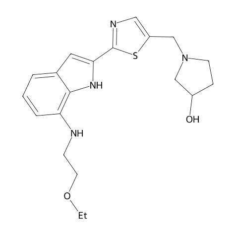 CCOCCNc1cccc2cc(-c3ncc(CN4CCC(O)C4)s3)[nH]c12